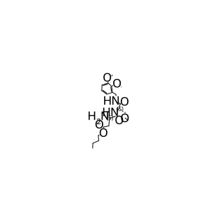 CCCCOC(=O)C[C@H](N)C(=O)N[C@@H](COC)C(=O)NCc1cccc(OC)c1OC